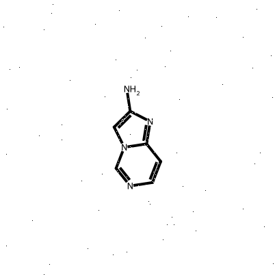 Nc1cn2cnccc2n1